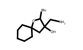 CC(C)(C)C1OC2(CCCCC2)CC1(O)CN